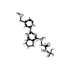 COCc1ccnc(-c2nc3c(c(N(C)CC(=O)NC(C)(C)C)n2)CCC3)c1